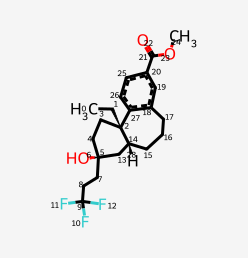 CC[C@]12CC[C@@](O)(CCC(F)(F)F)C[C@H]1CCCc1cc(C(=O)OC)ccc12